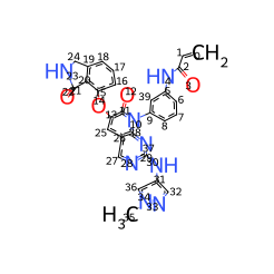 C=CC(=O)Nc1cccc(-n2c(=O)c(Oc3cccc4c3C(=O)NC4)cc3cnc(Nc4cnn(C)c4)nc32)c1